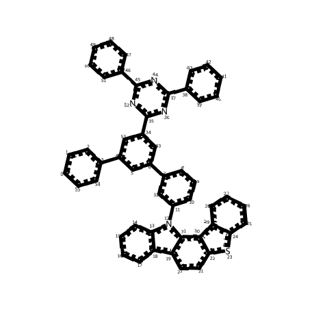 c1ccc(-c2cc(-c3cccc(-n4c5ccccc5c5ccc6sc7ccccc7c6c54)c3)cc(-c3nc(-c4ccccc4)nc(-c4ccccc4)n3)c2)cc1